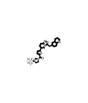 C[N+]1(C)CCN(C(=O)c2ccc(-c3ccc4nnc(Cc5ccc6ncccc6c5)n4n3)s2)C1